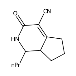 CCCC1NC(=O)C(C#N)=C2CCCC21